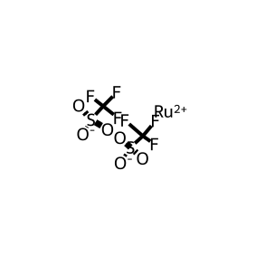 O=S(=O)([O-])C(F)(F)F.O=S(=O)([O-])C(F)(F)F.[Ru+2]